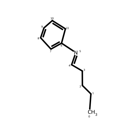 CCCCC=Nc1ccccc1